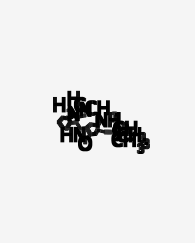 CN(C)Cc1[nH]c2ccccc2c1C1NC(=O)c2cc(C#CS(C)(C)C)c(N)cc21